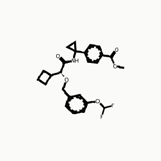 COC(=O)c1ccc(C2(NC(=O)[C@H](OCc3cccc(OC(F)F)c3)C3CCC3)CC2)cc1